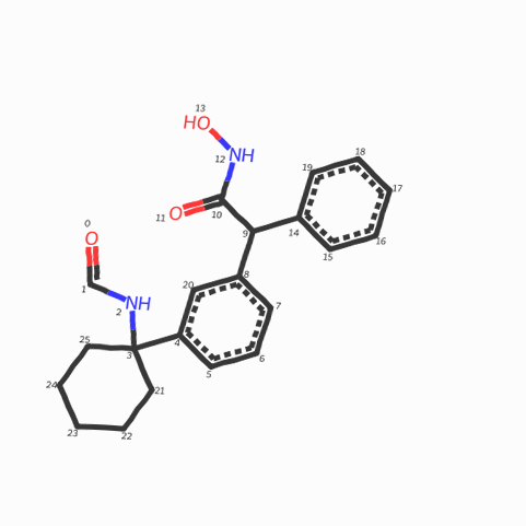 O=CNC1(c2cccc(C(C(=O)NO)c3ccccc3)c2)CCCCC1